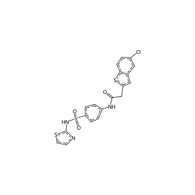 O=C(Cc1cc2cc(Cl)ccc2s1)Nc1ccc(S(=O)(=O)Nc2nccs2)cc1